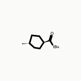 CC(C)(C)C(=O)[C@H]1CC[C@H](C)CC1